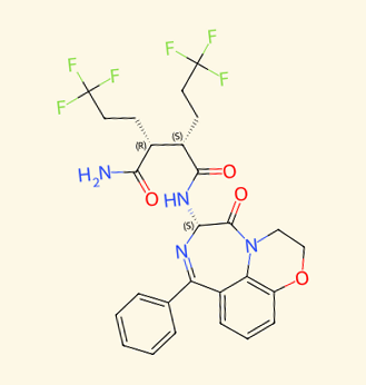 NC(=O)[C@H](CCC(F)(F)F)[C@H](CCC(F)(F)F)C(=O)N[C@H]1N=C(c2ccccc2)c2cccc3c2N(CCO3)C1=O